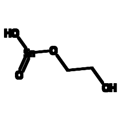 [O]=[Sn]([OH])[O]CCO